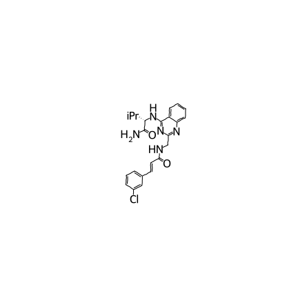 CC(C)[C@H](Nc1nc(CNC(=O)/C=C/c2cccc(Cl)c2)nc2ccccc12)C(N)=O